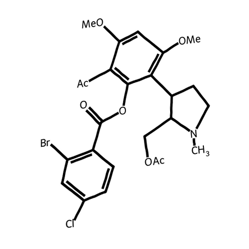 COc1cc(OC)c(C2CCN(C)C2COC(C)=O)c(OC(=O)c2ccc(Cl)cc2Br)c1C(C)=O